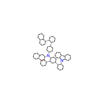 c1ccc(-c2cc(-c3ccccc3-n3c4ccccc4c4ccccc43)ccc2N(c2ccc(-c3ccccc3-c3cccc4ccccc34)cc2)c2ccc3ccccc3c2)cc1